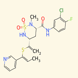 C=C(S/C(=C\C)c1cccnc1)[C@H]1C[C@@H](C(=O)Nc2ccc(F)c(Cl)c2)N(C)S(=O)(=O)N1